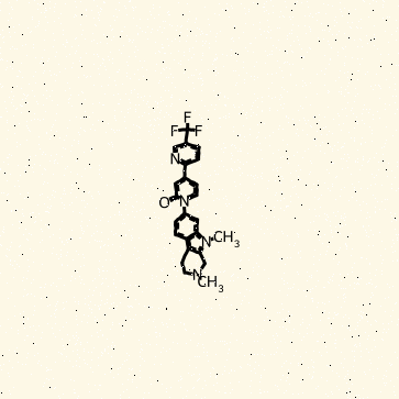 CN1CCc2c(n(C)c3cc(-n4ccc(-c5ccc(C(F)(F)F)cn5)cc4=O)ccc23)C1